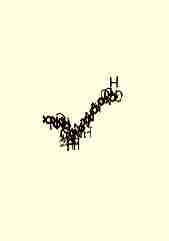 [2H]C([2H])([2H])Oc1ncc(-c2ccnc(N3CCn4c(cc5c4CC(C)(C)C5)C3=O)c2[C@@H](C)O)cc1Nc1ccc(N2CCN(C3CCN(c4ccc5c(c4)CN([C@H]4CCC(=O)NC4=O)C5=O)[C@H](C)C3)C[C@@H]2C)cn1